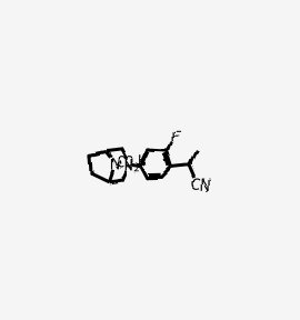 CC(C#N)c1ccc(N2CC3CCC(C2)N3C(=O)O)cc1F